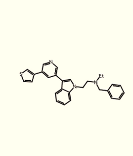 CCN(CCn1cc(-c2cncc(-c3ccsc3)c2)c2ccccc21)Cc1ccccc1